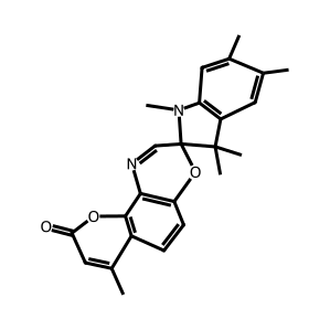 Cc1cc2c(cc1C)C(C)(C)C1(C=Nc3c(ccc4c(C)cc(=O)oc34)O1)N2C